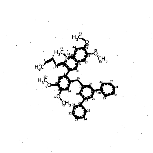 C/C=C\N=c1\c(-c2cc(OC)c(OC)cc2Cc2cc(-c3ccccc3)cc(-c3ccccc3)c2)cc2cc(OC)c(OC)cc2n1C